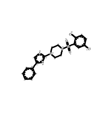 O=S(=O)(c1cc(Cl)ccc1Cl)N1CCN(c2nc(-c3ccccc3)cs2)CC1